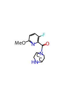 COc1ccc(F)c(C(=O)N2CCC3CCC2CN3)n1